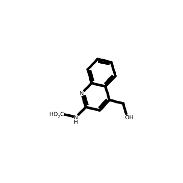 O=C(O)Nc1cc(CO)c2ccccc2n1